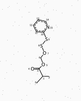 CC(C)C(=O)OCOSSc1ccccn1